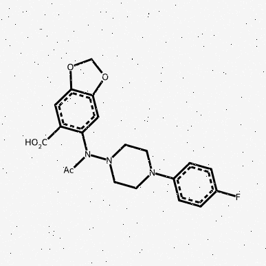 CC(=O)N(c1cc2c(cc1C(=O)O)OCO2)N1CCN(c2ccc(F)cc2)CC1